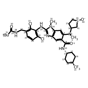 CN(c1cc2c(cc1C(=O)N[C@H]1CC[C@H](C(F)(F)F)CC1)nc(Nc1c(Cl)ccc(CNC(=O)C(C)(C)C)c1Cl)n2C)C1CC[S+]([O-])C1